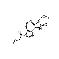 CCC(=O)n1cnc2c3nc(=O)n(CC)c-3ncnc21